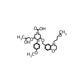 COCCCN1CCOc2ccc(CO[C@H]3CN(C(=O)O)C[C@@H](OC[C@H](C)O)[C@@H]3c3ccc(OC)cc3)cc21